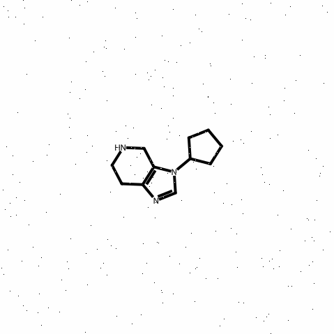 c1nc2c(n1C1CCCC1)CNCC2